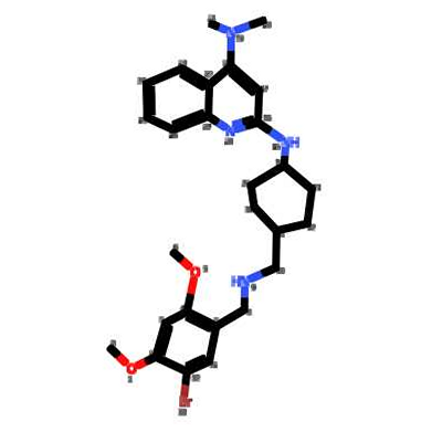 COc1cc(OC)c(CNCC2CCC(Nc3cc(N(C)C)c4ccccc4n3)CC2)cc1Br